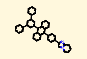 c1ccc(-c2cc(-c3ccccc3)cc(-c3c4ccccc4c(-c4ccc(-c5cn6ccccc6n5)cc4)c4ccccc34)c2)cc1